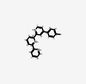 Cc1ccc(-c2ccnc(-c3cccc(-c4ccccn4)n3)c2)cc1